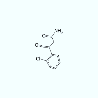 NC(=O)CC(=C=O)c1ccccc1Cl